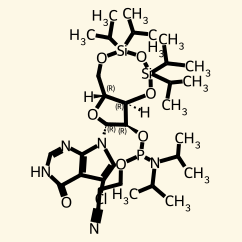 CC(C)N(C(C)C)P(OCCC#N)O[C@@H]1[C@@H]2O[Si](C(C)C)(C(C)C)O[Si](C(C)C)(C(C)C)OC[C@H]2O[C@H]1n1cc(Cl)c2c(=O)[nH]cnc21